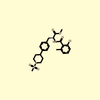 COC(=O)[C@H](Cc1ccc(C2CCN(S(C)(=O)=O)CC2)cc1)NC(=O)c1c(C)cccc1Cl